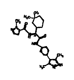 Cc1n[nH]c(C)c1-c1ccc(NC(=O)[C@@H](NC(=O)c2ccnn2C)C2CCCC(C)(C)C2)cc1